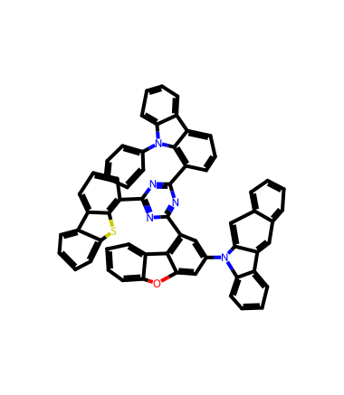 c1ccc(-n2c3ccccc3c3cccc(-c4nc(-c5cccc6c5sc5ccccc56)nc(-c5cc(-n6c7ccccc7c7cc8ccccc8cc76)cc6oc7ccccc7c56)n4)c32)cc1